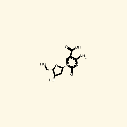 Nc1nc(=O)n([C@@H]2C[C@@H](O)[C@H](CO)O2)cc1C(=O)O